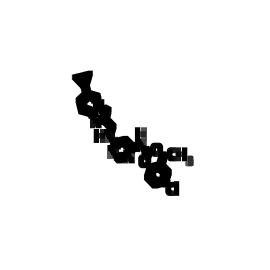 C[C@H](OC(=O)Nc1cc(NCc2cn3cc(C4CC4)ccc3n2)ncn1)c1cccc(Cl)c1